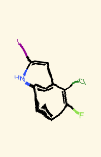 Fc1ccc2[nH]c(I)cc2c1Cl